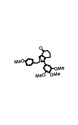 COc1ccc(Cn2cc3c(c2-c2cc(OC)c(OC)c(OC)c2)CCCC3=O)cc1